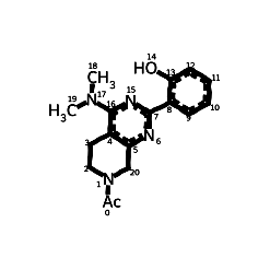 CC(=O)N1CCc2c(nc(-c3ccccc3O)nc2N(C)C)C1